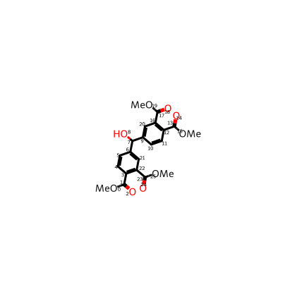 COC(=O)c1ccc(C(O)c2ccc(C(=O)OC)c(C(=O)OC)c2)cc1C(=O)OC